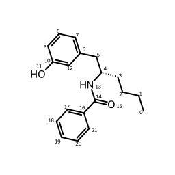 CCCC[C@@H](Cc1cccc(O)c1)NC(=O)c1ccccc1